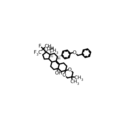 CC1(C)COC2(CCC3=C4C(CC[C@@]3(O)C2)C2CC[C@@](O)([C@@](C)(F)C(F)(F)F)[C@@]2(C)C[C@@H]4c2ccc(OCc3ccccc3)cc2)OC1